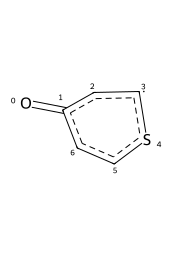 O=c1c[c]scc1